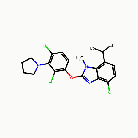 CCC(CC)c1ccc(Cl)c2nc(Oc3ccc(Cl)c(N4CCCC4)c3Cl)n(C)c12